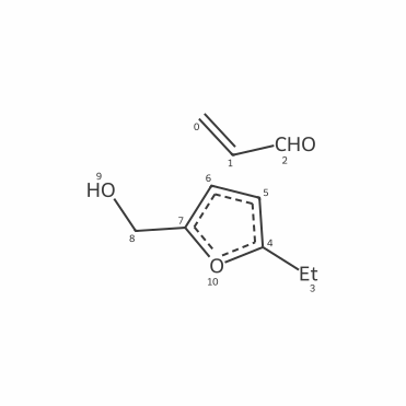 C=CC=O.CCc1ccc(CO)o1